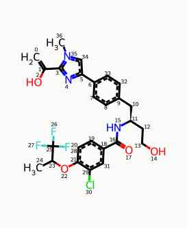 C=C(O)c1nc(-c2ccc(C[C@@H](CCO)NC(=O)c3ccc(OC(C)C(F)(F)F)c(Cl)c3)cc2)cn1C